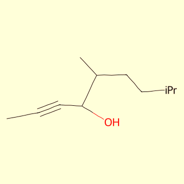 CC#CC(O)C(C)CCC(C)C